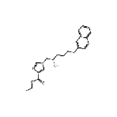 CCOC(=O)c1cn(C[C@@H](O)CCCCc2ccc3ccccc3c2)cn1